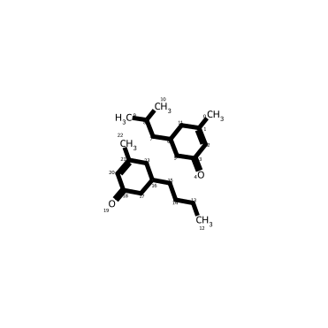 CC1=CC(=O)CC(CC(C)C)C1.CCCCC1CC(=O)C=C(C)C1